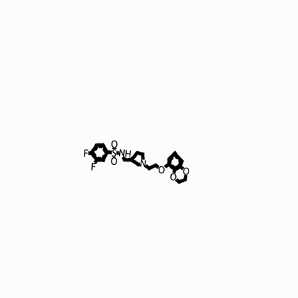 O=S(=O)(NCC1CCN(CCOc2cccc3c2OCCO3)C1)c1ccc(F)c(F)c1